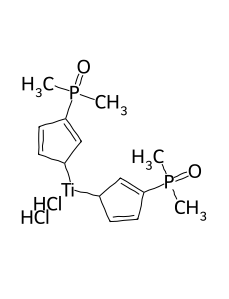 CP(C)(=O)C1=C[CH]([Ti][CH]2C=CC(P(C)(C)=O)=C2)C=C1.Cl.Cl